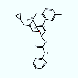 Cc1ccc2c(c1)[C@]13CCN(CC4CC4)[C@H](C2)[C@]12CCC(NC(=O)Nc1ccccc1)(CO2)C3